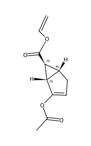 C=COC(=O)[C@H]1[C@@H]2CC=C(OC(C)=O)[C@@H]21